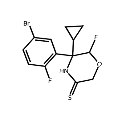 Fc1ccc(Br)cc1C1(C2CC2)NC(=S)COC1F